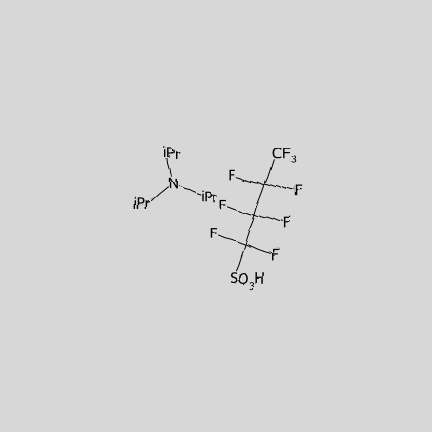 CC(C)N(C(C)C)C(C)C.O=S(=O)(O)C(F)(F)C(F)(F)C(F)(F)C(F)(F)F